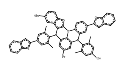 Cc1cc(C(C)(C)C)cc(C)c1N1c2cc(-c3cc4ccccc4o3)ccc2B2c3sc4ccc(C(C)(C)C)cc4c3N(c3c(C)cc(-c4cc5ccccc5s4)cc3C)c3cc(C(C)C)cc1c32